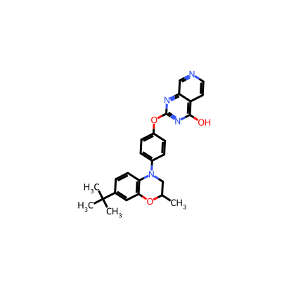 CC1CN(c2ccc(Oc3nc(O)c4ccncc4n3)cc2)c2ccc(C(C)(C)C)cc2O1